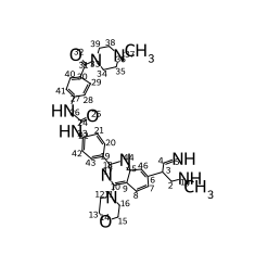 CNCC(C=N)c1ccc2c(N3CCOCC3)nc(-c3ccc(NC(=O)Nc4ccc(C(=O)N5CCN(C)CC5)cc4)cc3)nc2c1